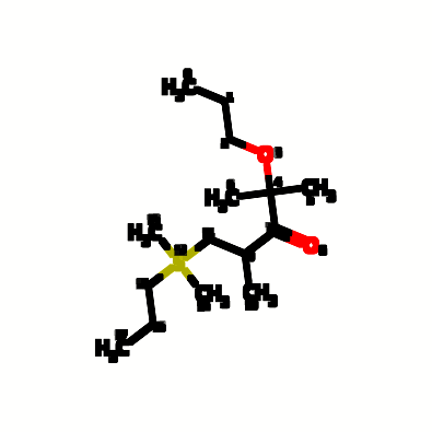 CCCOC(C)(C)C(=O)C(C)CS(C)(C)CCC